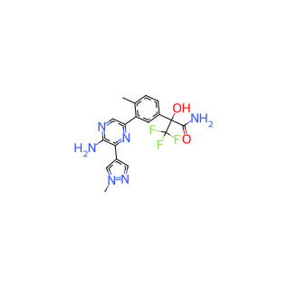 Cc1ccc(C(O)(C(N)=O)C(F)(F)F)cc1-c1cnc(N)c(-c2cnn(C)c2)n1